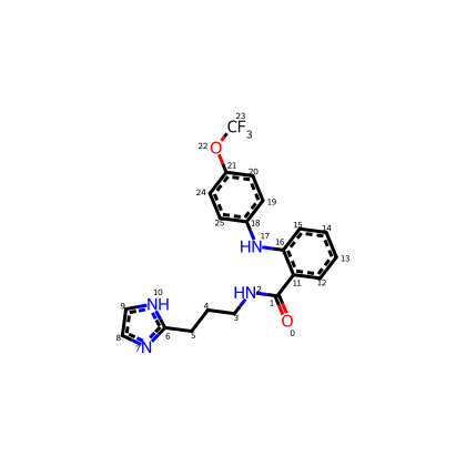 O=C(NCCCc1ncc[nH]1)c1ccccc1Nc1ccc(OC(F)(F)F)cc1